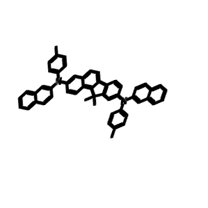 Cc1ccc(N(c2ccc3c(c2)C(C)(C)c2c-3ccc3cc(N(c4ccc(C)cc4)c4ccc5ccccc5c4)ccc23)c2ccc3ccccc3c2)cc1